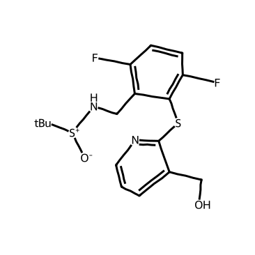 CC(C)(C)[S+]([O-])NCc1c(F)ccc(F)c1Sc1ncccc1CO